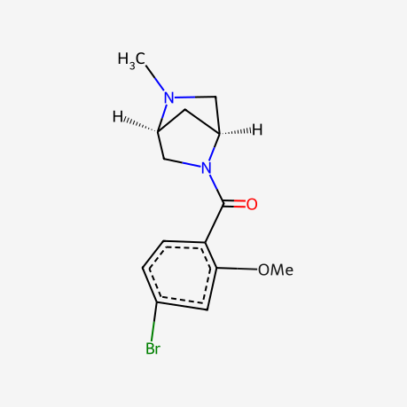 COc1cc(Br)ccc1C(=O)N1C[C@@H]2C[C@H]1CN2C